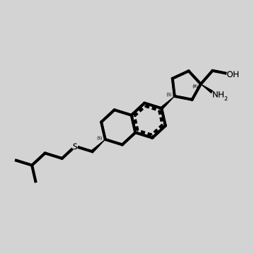 CC(C)CCSC[C@H]1CCc2cc([C@H]3CC[C@](N)(CO)C3)ccc2C1